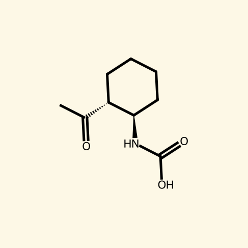 CC(=O)[C@@H]1CCCC[C@H]1NC(=O)O